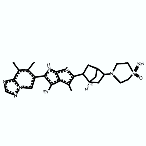 Cc1c(-c2[nH]c3sc(C4CC5C[C@H]4CC5N4CCS(=N)(=O)CC4)c(C)c3c2C(C)C)cn2ncnc2c1C